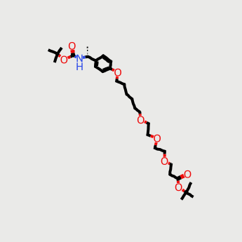 C[C@@H](NC(=O)OC(C)(C)C)c1ccc(OCCCCCCOCCOCCOCCC(=O)OC(C)(C)C)cc1